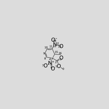 COC(=O)C1([N+](=O)[O-])C=CC=C([N+](=O)[O-])C1C